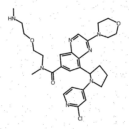 CNCCOCCN(C)C(=O)c1cc(C2CCCN2c2ccnc(Cl)c2)c2nc(N3CCOCC3)cnc2c1